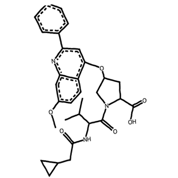 COc1ccc2c(OC3CC(C(=O)O)N(C(=O)C(NC(=O)CC4CC4)C(C)C)C3)cc(-c3ccccc3)nc2c1